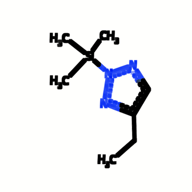 CCc1cnn([Si](C)(C)C)n1